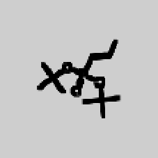 C/C=C/P(=O)(OC(C)(C)C)OC(C)(C)C